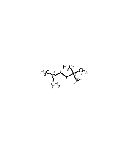 CC(C)C(C)(C)CCP(C)C